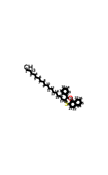 CCCCCCCCCCCCCCCCCCC(Sc1ccc2ccccc2c1)C(=O)c1ccccc1